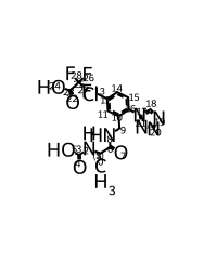 C[C@H](NC(=O)O)C(=O)NCc1cc(Cl)ccc1-n1cnnn1.O=C(O)C(F)(F)F